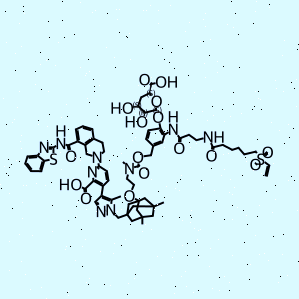 C=CS(=O)(=O)CCCCCC(=O)NCCC(=O)Nc1cc(COC(=O)N(C)CCOC23CC4(C)CC(C)(CC(Cn5ncc(-c6ccc(N7CCc8cccc(C(=O)Nc9nc%10ccccc%10s9)c8C7)nc6C(=O)O)c5C)(C4)C2)C3)ccc1O[C@@H]1O[C@H](C(=O)O)C[C@H](O)[C@H]1O